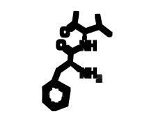 CC(=O)[C@@H](NC(=O)[C@@H](N)Cc1ccccc1)C(C)C